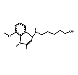 COc1cccc2c1N(C)C(I)=CC2NCCCCCO